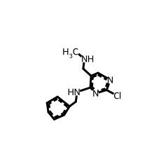 CNCc1cnc(Cl)nc1NCc1ccccc1